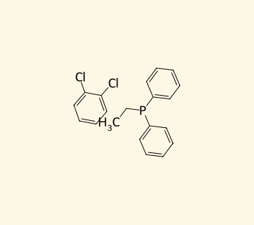 CCP(c1ccccc1)c1ccccc1.Clc1ccccc1Cl